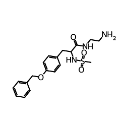 CS(=O)(=O)NC(Cc1ccc(OCc2ccccc2)cc1)C(=O)NCCN